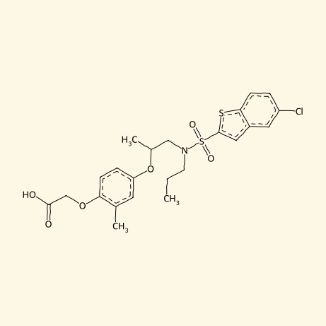 CCCN(CC(C)Oc1ccc(OCC(=O)O)c(C)c1)S(=O)(=O)c1cc2cc(Cl)ccc2s1